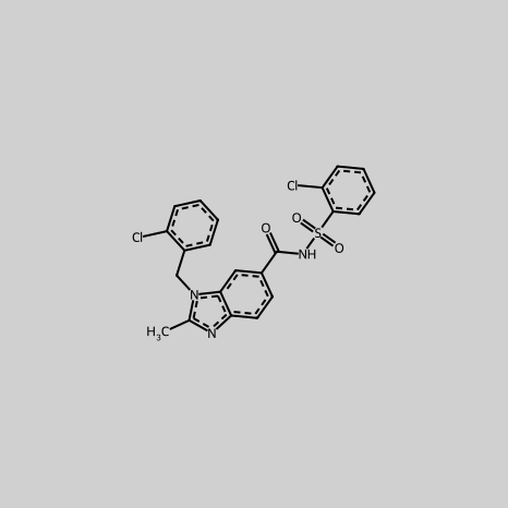 Cc1nc2ccc(C(=O)NS(=O)(=O)c3ccccc3Cl)cc2n1Cc1ccccc1Cl